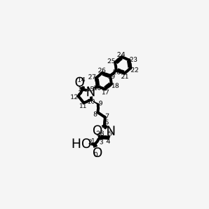 O=C(O)c1cnc(CCC[C@H]2CCC(=O)N2c2ccc(-c3ccccc3)cc2)o1